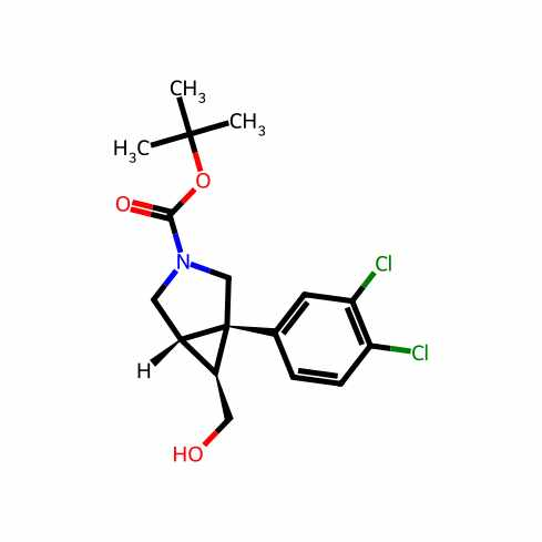 CC(C)(C)OC(=O)N1C[C@H]2[C@H](CO)[C@@]2(c2ccc(Cl)c(Cl)c2)C1